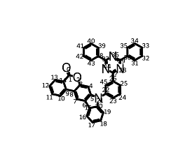 O=c1oc2cc3c(cc2c2ccccc12)c1ccccc1n3-c1cccc(-c2nc(-c3ccccc3)nc(-c3ccccc3)n2)c1